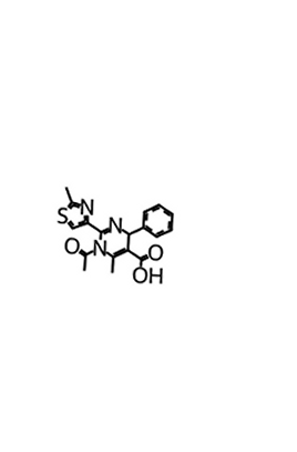 CC(=O)N1C(c2csc(C)n2)=NC(c2ccccc2)C(C(=O)O)=C1C